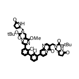 COc1nc(-c2cccc(-c3cccc(-c4ccn5c(=O)c(CN(C[C@@H]6CCC(=O)N6)C(=O)OC(C)(C)C)cnc5c4)c3Cl)c2Cl)cnc1CN(C[C@@H]1CCC(=O)N1)C(=O)OC(C)(C)C